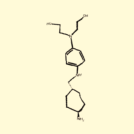 N[C@H]1CC[C@H](CNc2ccc(N(CCO)CCO)cc2)CC1